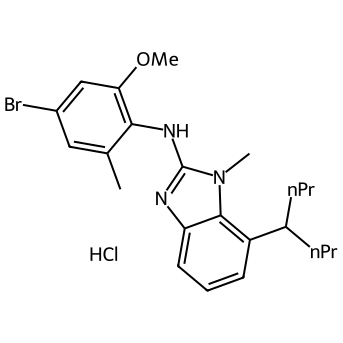 CCCC(CCC)c1cccc2nc(Nc3c(C)cc(Br)cc3OC)n(C)c12.Cl